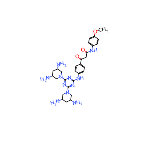 COc1ccc(NC(=O)CC(=O)c2ccc(Nc3nc(N4C[C@H](N)C[C@H](N)C4)nc(N4C[C@H](N)C[C@H](N)C4)n3)cc2)cc1